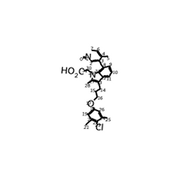 C=N/C=C(\C(C)=C/C)c1cccc2c(CCCOc3cc(C)c(Cl)c(C)c3)c(C)n(CC(=O)O)c12